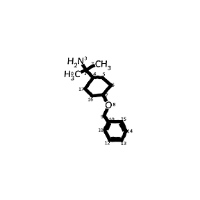 CC(C)(N)C1CCC(OCc2ccccc2)CC1